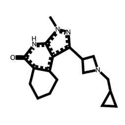 Cn1nc(C2CN(CC3CC3)C2)c2c3c(c(=O)[nH]c21)CCCC3